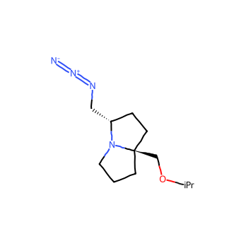 CC(C)OC[C@@]12CCCN1[C@H](CN=[N+]=[N-])CC2